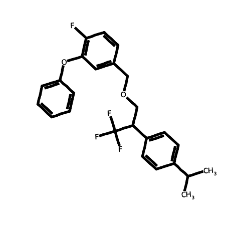 CC(C)c1ccc(C(COCc2ccc(F)c(Oc3ccccc3)c2)C(F)(F)F)cc1